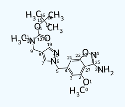 COc1cc(Cn2cc(CN(C)C(=O)OC(C)(C)C)cn2)cc2onc(N)c12